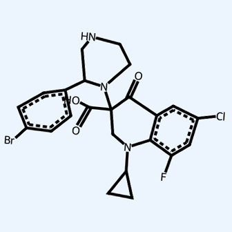 O=C(O)C1(N2CCNCC2c2ccc(Br)cc2)CN(C2CC2)c2c(F)cc(Cl)cc2C1=O